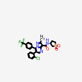 Cc1nn2c(-c3ccc(C(F)(F)F)cc3)c(-c3ccccc3Cl)cnc2c1C(=O)N[C@@H]1CCS(=O)(=O)C1